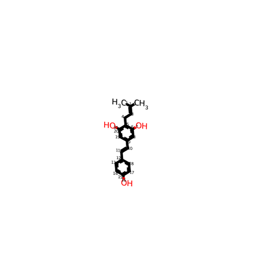 CC(C)=CCc1c(O)cc(C=Cc2ccc(O)cc2)cc1O